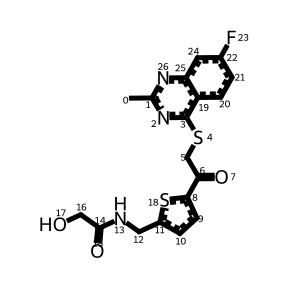 Cc1nc(SCC(=O)c2ccc(CNC(=O)CO)s2)c2ccc(F)cc2n1